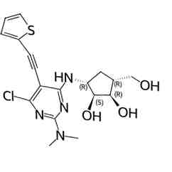 CN(C)c1nc(Cl)c(C#Cc2cccs2)c(N[C@@H]2C[C@H](CO)[C@@H](O)[C@H]2O)n1